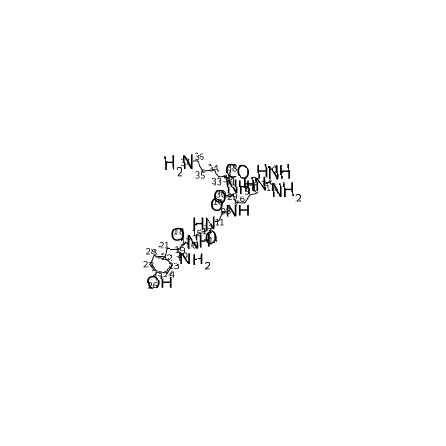 N=C(N)NCCCC(NC(=O)CNC(=O)CNC(=O)C(N)Cc1ccc(O)cc1)C(=O)NC(CCCCN)C(=O)O